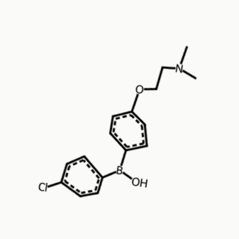 CN(C)CCOc1ccc(B(O)c2ccc(Cl)cc2)cc1